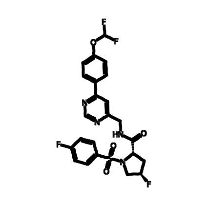 O=C(NCc1cc(-c2ccc(OC(F)F)cc2)ncn1)[C@@H]1C[C@@H](F)CN1S(=O)(=O)c1ccc(F)cc1